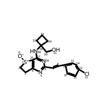 [O-][S@+]1CCc2nc(/C=C/c3ccc(Cl)cc3)nc(NC3(CO)CCC3)c21